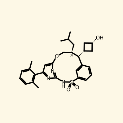 Cc1cccc(C)c1-c1cc2nc(n1)NS(=O)(=O)c1cccc(c1)C([C@H]1C[C@@H](O)C1)[C@H](CC(C)C)CO2